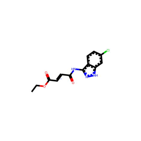 CCOC(=O)/C=C/C(=O)Nc1n[nH]c2cc(Cl)ccc12